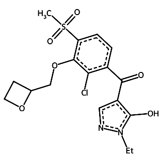 CCn1ncc(C(=O)c2ccc(S(C)(=O)=O)c(OCC3CCO3)c2Cl)c1O